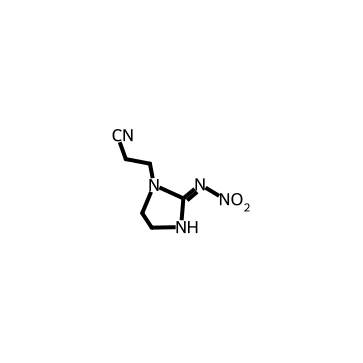 N#CCCN1CCN/C1=N\[N+](=O)[O-]